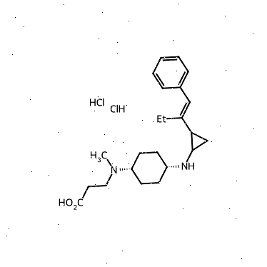 CC/C(=C\c1ccccc1)C1CC1N[C@H]1CC[C@@H](N(C)CCC(=O)O)CC1.Cl.Cl